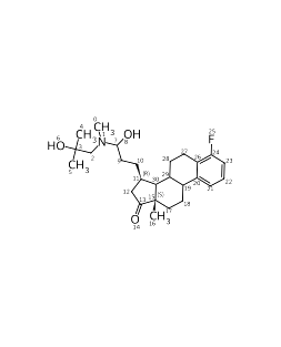 CN(CC(C)(C)O)C(O)CC[C@@H]1CC(=O)[C@@]2(C)CCC3c4cccc(F)c4CCC3C12